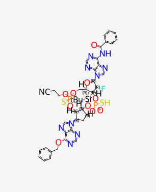 CC(C)(C)[Si](C)(C)O[C@H]1[C@H]2OP(=S)(OCCC#N)OC[C@H]3O[C@@H](n4cnc5c(NC(=O)c6ccccc6)ncnc54)[C@H](F)[C@@H]3OP(=O)(S)O[C@H]1C[C@H]2n1cnc2c(OCc3ccccc3)ncnc21